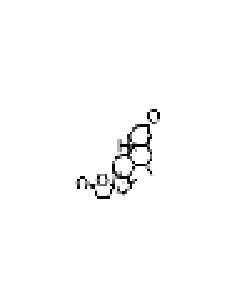 CC[C@]12CCC3C(C(C)CC4=CC(=O)CC[C@@H]43)C1CC[C@@]21C=CC(=O)O1